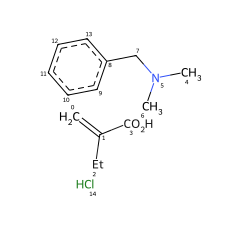 C=C(CC)C(=O)O.CN(C)Cc1ccccc1.Cl